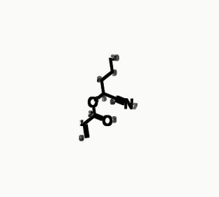 C=CC(=O)OC(C#N)CCC